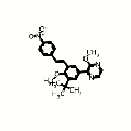 COc1nccnc1-c1cc(/C=C/c2ccc([N+](=O)[O-])cc2)c(OC)c(C(C)(C)C)c1